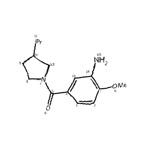 COc1ccc(C(=O)N2CCC(C(C)C)C2)cc1N